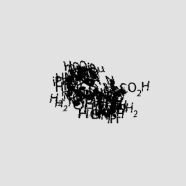 CC[C@H](C)[C@H](NC(=O)[C@H](C)N)C(=O)N[C@H](C(=O)N[C@@H](Cc1ccccc1)C(=O)N[C@H](C(=O)N[C@H](C(=O)N[C@@H](CC(N)=O)C(=O)N[C@@H](CCC(=O)O)C(=O)N[C@@H](CCC(N)=O)C(=O)NCC(=O)N[C@@H](CCC(N)=O)C(=O)N[C@H](C(=O)N[C@H](C(=O)N[C@H](C(=O)N[C@@H](CC(N)=O)C(=O)NCC(=O)N[C@@H](CCCCN)C(=O)N[C@@H](C)C(=O)O)C(C)C)[C@@H](C)O)C(C)C)C(C)C)[C@@H](C)O)[C@@H](C)O